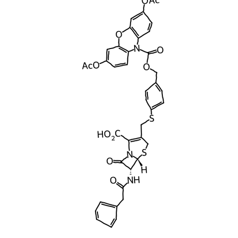 CC(=O)Oc1ccc2c(c1)Oc1cc(OC(C)=O)ccc1N2C(=O)OCc1ccc(SCC2=C(C(=O)O)N3C(=O)[C@@H](NC(=O)Cc4ccccc4)[C@H]3SC2)cc1